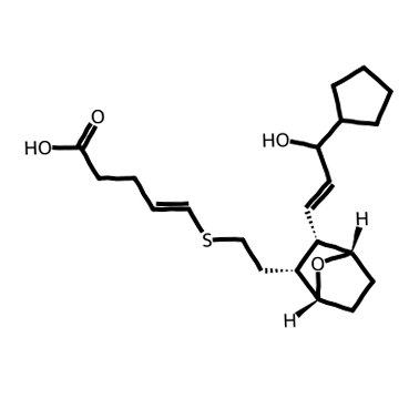 O=C(O)CCC=CSCC[C@@H]1[C@H](/C=C/C(O)C2CCCC2)[C@@H]2CC[C@H]1O2